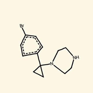 Brc1ccc(C2(N3CCNCC3)CC2)cc1